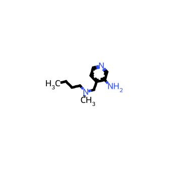 CCCCN(C)Cc1ccncc1N